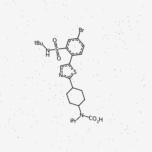 CC(C)N(C(=O)O)C1CCC(c2ncc(-c3ccc(Br)cc3S(=O)(=O)NC(C)(C)C)s2)CC1